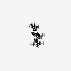 CC(C)CC(O)Nc1cncc(-c2cnc3[nH]nc(-c4cc5c(-c6cc(F)cc(CNS(C)(=O)=O)c6)cncc5[nH]4)c3c2)c1